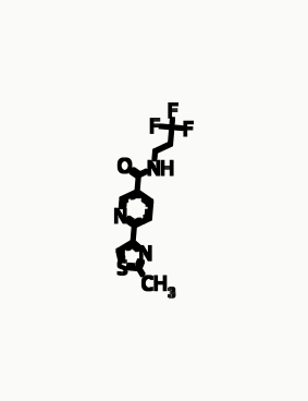 Cc1nc(-c2ccc(C(=O)NCCC(F)(F)F)cn2)cs1